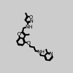 Cc1cc(NCc2oc3cccc(OCCCNCc4cccnc4C)c3c2C)no1